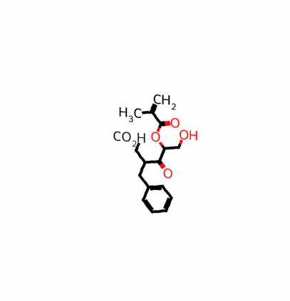 C=C(C)C(=O)OC(CO)C(=O)C(CC(=O)O)Cc1ccccc1